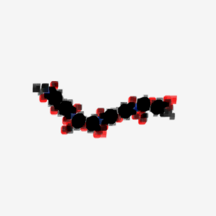 Cc1ccc(Oc2ccc(N3C(=O)c4ccc(Oc5ccc6c(c5)C(=O)N(c5ccc(Oc7ccc(N8C(=O)c9ccc(C(=O)c%10ccc%11c(c%10)C(=O)N(C)C%11=O)cc9C8=O)c(OC=O)c7)cc5C(=O)O)C6=O)cc4C3=O)c(OC=O)c2)cc1C(=O)O